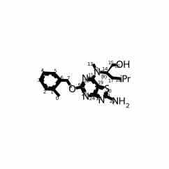 Cc1ccccc1COc1nc(N(C)[C@@H](CO)CC(C)C)c2sc(N)nc2n1